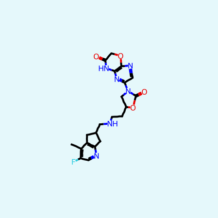 Cc1c(F)cnc2c1CC(CNCCC1CN(c3cnc4c(n3)NC(=O)CO4)C(=O)O1)C2